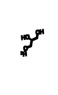 [2H]OC[C@H](O)CO